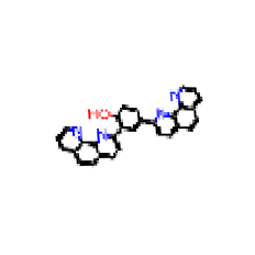 Oc1ccc(-c2ccc3ccc4cccnc4c3n2)cc1-c1ccc2ccc3cccnc3c2n1